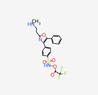 CNCCc1nc(-c2ccc(S(=O)(=O)NOC(=O)C(F)(F)F)cc2)c(-c2ccccc2)o1